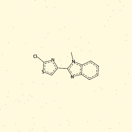 Cn1c(-c2csc(Cl)n2)nc2ccccc21